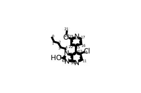 CCCCCn1c(O)nc2ncc(Cl)c(-c3ccnc(OC)c3)c21